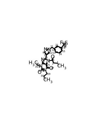 CCCC(=O)n1c(-c2cnn(Cc3cccc(C(F)(F)F)c3)c2)nc2c1c(=O)n(CCC)c(=O)n2CC